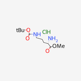 COC(=O)[C@@H](N)CCCNC(=O)OC(C)(C)C.Cl